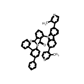 Cc1cnccc1-c1ccc2c3ccc(-c4ccncc4C)cc3n(-c3cccc4c3C(=O)N(c3ccc(-c5ccccc5)cc3-c3ccccc3)C4=O)c2c1